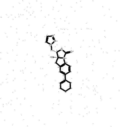 O=C1O[C@@H](Cn2ccnn2)[C@@H]2Cc3cc(C4=CCCCC4)ccc3N12